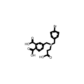 O=C(O)CCN(Cc1ccc(Br)cc1)Cc1ccc(C(=O)O)c(C(=O)O)c1